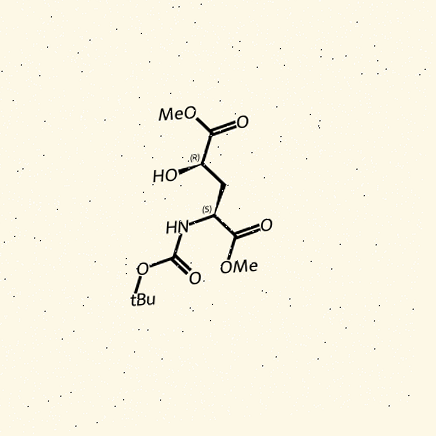 COC(=O)[C@H](O)C[C@H](NC(=O)OC(C)(C)C)C(=O)OC